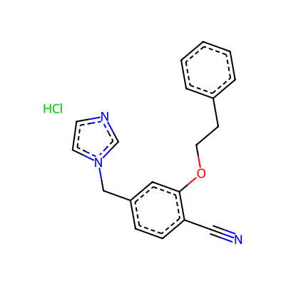 Cl.N#Cc1ccc(Cn2ccnc2)cc1OCCc1ccccc1